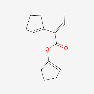 CC=C(C(=O)OC1=CCCC1)C1=CCCC1